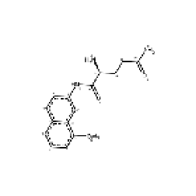 COc1cccc2ccc(NC(=O)[C@@H](N)CCC(N)=O)cc12